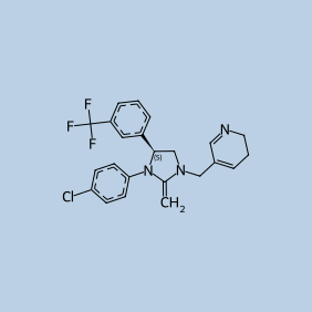 C=C1N(CC2=CCCN=C2)C[C@H](c2cccc(C(F)(F)F)c2)N1c1ccc(Cl)cc1